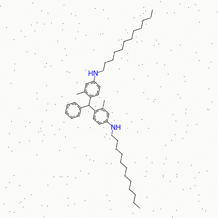 CCCCCCCCCCCCNc1ccc(C(c2ccccc2)c2ccc(NCCCCCCCCCCCC)cc2C)c(C)c1